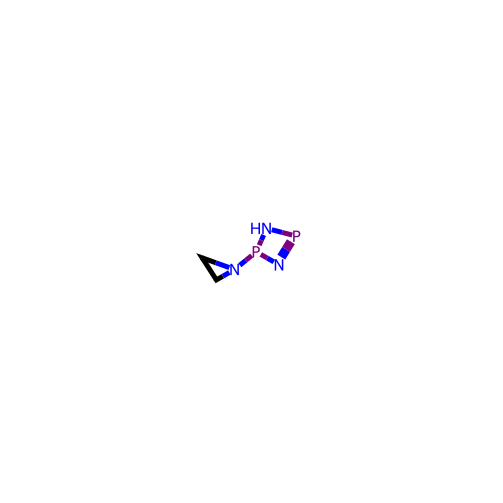 C1CN1p1np[nH]1